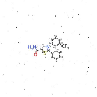 NC(=O)c1cnc(-c2ccccc2-c2ccccc2C(F)(F)F)s1